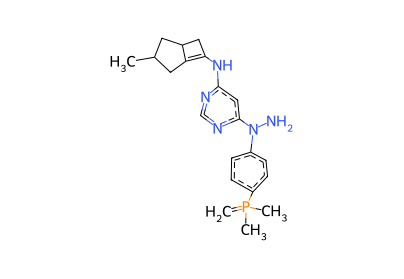 C=P(C)(C)c1ccc(N(N)c2cc(NC3=C4CC(C)CC4C3)ncn2)cc1